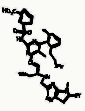 Cc1cccc(CCC(C)C)c1-c1nc(NS(=O)(=O)c2cccc(C(=O)O)c2)nc(OCC(CC(C)(C)C)NCc2cnc3cc(C(C)C)n(C)c3n2)c1C